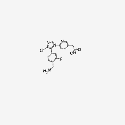 NCc1ccc(-c2c(Cl)ncn2-c2ccc(C[SH](=O)=O)cn2)cc1F